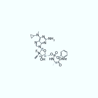 C#C[C@@]1(F)[C@H](O)[C@@H](COP(=O)(N[C@@H](C)C(=O)OC)Oc2ccccc2)O[C@H]1n1cnc2c(N(C)C3CC3)nc(N)nc21